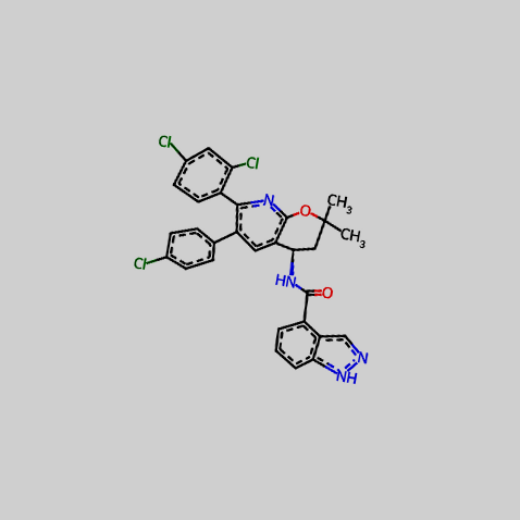 CC1(C)C[C@@H](NC(=O)c2cccc3[nH]ncc23)c2cc(-c3ccc(Cl)cc3)c(-c3ccc(Cl)cc3Cl)nc2O1